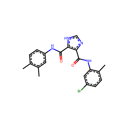 Cc1ccc(NC(=O)c2[nH]cnc2C(=O)Nc2cc(Br)ccc2C)cc1C